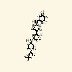 CC(C)(C)OC(=O)N1CCC(Nc2cncc(-c3cnc(Nc4cccc(Cl)c4)nc3)n2)CC1